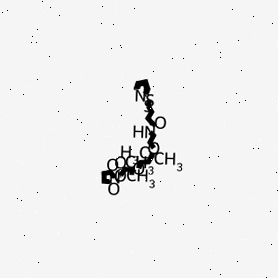 CC(C)(CCOC(C)(C)C(=O)ON1C(=O)CCC1=O)OCCNC(=O)CCSSc1ccccn1